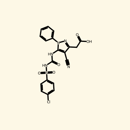 N#Cc1c(CC(=O)O)nn(-c2ccccc2)c1NC(=O)NS(=O)(=O)c1ccc(Cl)cc1